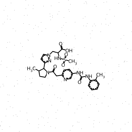 Cc1ccccc1NC(=O)Nc1ccc(CC(=O)N2CCC(C)C2c2ccn(CC(NS(C)(=O)=O)C(=O)O)n2)nc1